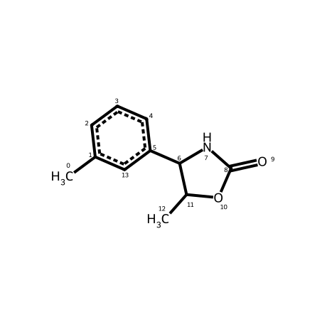 Cc1cccc(C2NC(=O)OC2C)c1